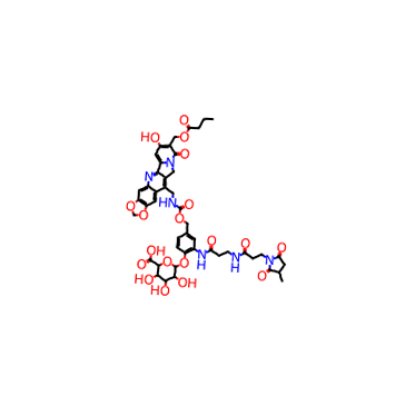 CCCC(=O)OCc1c(O)cc2n(c1=O)Cc1c-2nc2cc3c(cc2c1CNC(=O)OCc1ccc(OC2OC(C(=O)O)C(O)C(O)C2O)c(NC(=O)CCNC(=O)CCN2C(=O)CC(C)C2=O)c1)OCO3